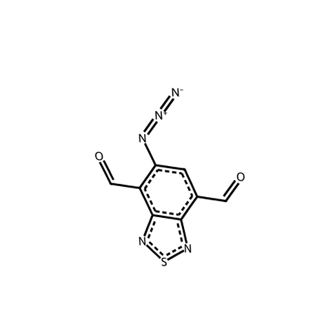 [N-]=[N+]=Nc1cc(C=O)c2nsnc2c1C=O